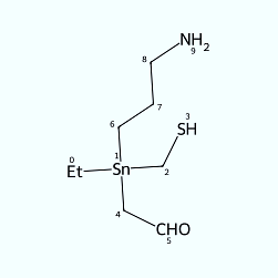 C[CH2][Sn]([CH2]S)([CH2]C=O)[CH2]CCN